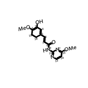 COC1=C(O)C=C(/C=C/C(=O)Nc2nccc(OC)n2)CC1